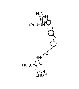 CCCCCNc1nc(N)nc2ccn(Cc3ccc(CN4CCN(CCOCCNC(=O)CC(SCC(N)C=O)C(=O)O)CC4)cc3C)c12